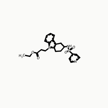 CCOC(=O)CCn1c2c(c3ccccc31)CC(NS(=O)(=O)c1ccncc1)CC2